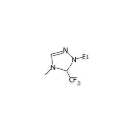 CCN1N=CN(C)C1C(F)(F)F